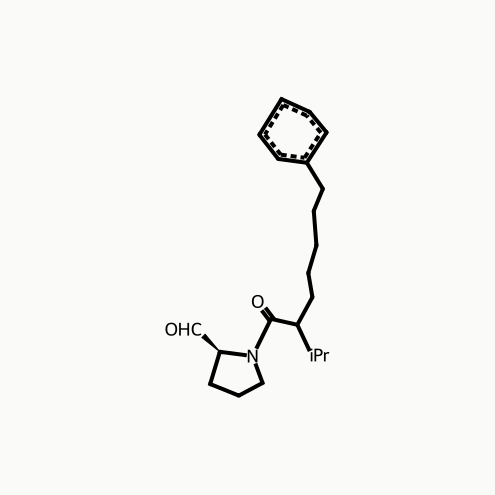 CC(C)C(CCCCCc1ccccc1)C(=O)N1CCC[C@H]1C=O